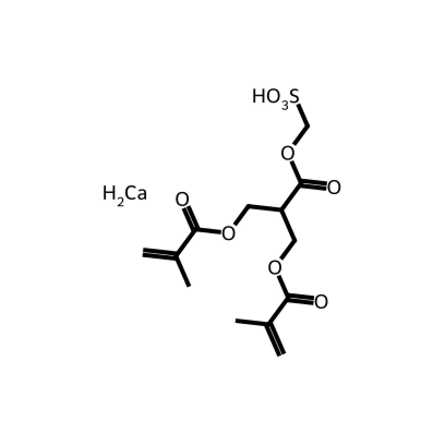 C=C(C)C(=O)OCC(COC(=O)C(=C)C)C(=O)OCS(=O)(=O)O.[CaH2]